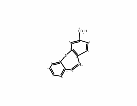 O=C(O)c1ccc2c(c1)Sc1ccccc1C=N2